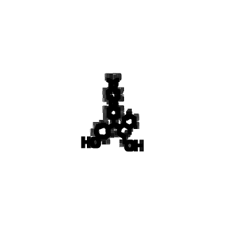 CC1C=CC=CC1/C(CCCO)=C(/C1=CC=C(O)CC=C1)c1ccc(N2CCN(C(C)C)CC2)cc1